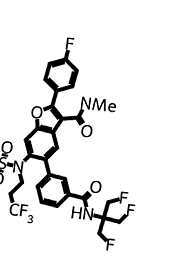 CNC(=O)c1c(-c2ccc(F)cc2)oc2cc(N(CCC(F)(F)F)S(C)(=O)=O)c(-c3cccc(C(=O)NC(CF)(CF)CF)c3)cc12